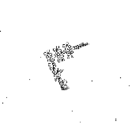 O=P([O-])([O-])OP(=O)([O-])OP(=O)([O-])[O-].O=P([O-])([O-])OP(=O)([O-])OP(=O)([O-])[O-].O=P([O-])([O-])OP(=O)([O-])OP(=O)([O-])[O-].O=P([O-])([O-])OP(=O)([O-])OP(=O)([O-])[O-].[Ba+2].[Ba+2].[Ba+2].[Ba+2].[Ba+2].[Cd+2].[Cd+2].[Cd+2].[Cd+2].[Cd+2]